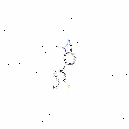 CCc1ccc(-c2ccc3cnn(C)c3c2)cc1F